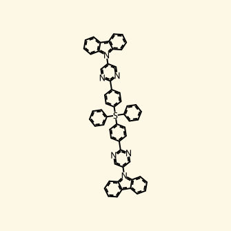 c1ccc(S(c2ccccc2)(c2ccc(-c3ncc(-n4c5ccccc5c5ccccc54)cn3)cc2)c2ccc(-c3ncc(-n4c5ccccc5c5ccccc54)cn3)cc2)cc1